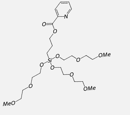 COCCOCCO[Si](CCCOC(=O)c1ccccn1)(OCCOCCOC)OCCOCCOC